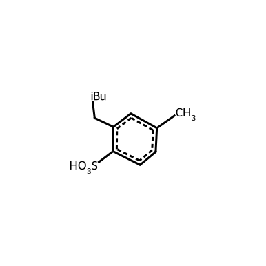 CCC(C)Cc1cc(C)ccc1S(=O)(=O)O